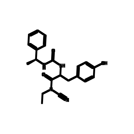 CCN(C#N)C(=O)C(Cc1ccc(O)cc1)NC(=O)N[C@@H](C)c1ccccc1